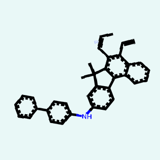 C=Cc1c(/C=C\C)c2c(c3ccccc13)-c1ccc(Nc3ccc(-c4ccccc4)cc3)cc1C2(C)C